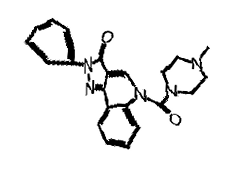 CN1CCN(C(=O)n2cc3c(=O)n(-c4ccccc4)nc-3c3ccccc32)CC1